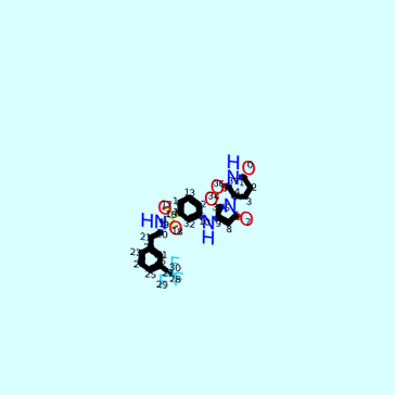 O=C1CCC(N2C(=O)C=C(Nc3cccc(S(=O)(=O)NCCc4cccc(C(F)(F)F)c4)c3)C2=O)C(=O)N1